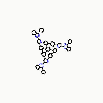 c1ccc(-c2nc(-c3ccc(-c4ccc(-c5ccccc5-c5cc(-c6ccccc6-c6ccc(-c7ccc(-c8nc(-c9ccccc9)c9ccccc9n8)cn7)cc6)cc(-c6ccccc6-c6ccc(-c7ccc(-c8nc(-c9ccccc9)c9ccccc9n8)cn7)cc6)c5)cc4)nc3)nc3ccccc23)cc1